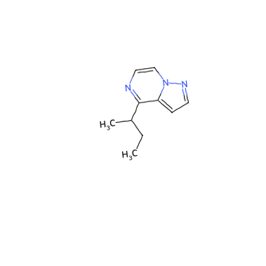 CCC(C)c1nccn2nccc12